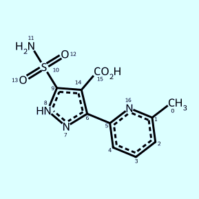 Cc1cccc(-c2n[nH]c(S(N)(=O)=O)c2C(=O)O)n1